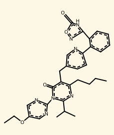 CCCCc1nc(C(C)C)n(-c2ncc(OCC)cn2)c(=O)c1Cc1ccc(-c2ccccc2-c2noc(=O)[nH]2)nc1